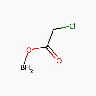 BOC(=O)CCl